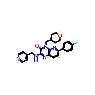 O=c1c(NCc2ccncc2)nc2ccc(-c3ccc(F)cc3)nc2n1CC1CCOCC1